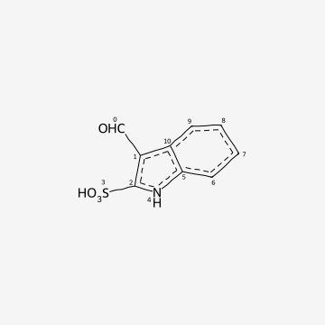 O=Cc1c(S(=O)(=O)O)[nH]c2ccccc12